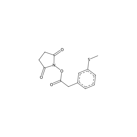 CSc1cccc(CC(=O)ON2C(=O)CCC2=O)c1